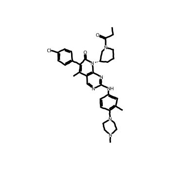 CCC(=O)N1CCC[C@H](n2c(=O)c(-c3ccc(Cl)cc3)c(C)c3cnc(Nc4ccc(N5CCN(C)CC5)c(C)c4)nc32)C1